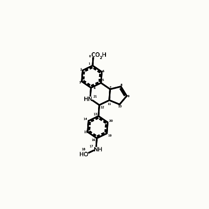 O=C(O)c1ccc2c(c1)C1C=CCC1C(c1ccc(NO)cc1)N2